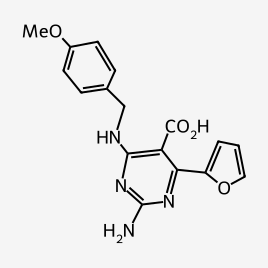 COc1ccc(CNc2nc(N)nc(-c3ccco3)c2C(=O)O)cc1